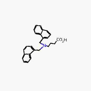 O=C(O)CCCN(Cc1cccc2ccccc12)Cc1cccc2ccccc12